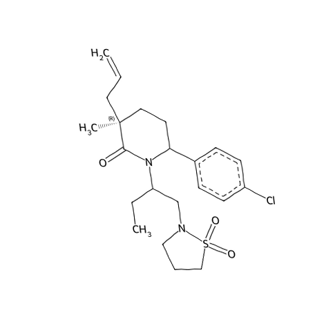 C=CC[C@@]1(C)CCC(c2ccc(Cl)cc2)N(C(CC)CN2CCCS2(=O)=O)C1=O